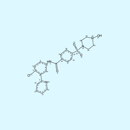 O=C(Nc1ccc(Cl)c(-c2ccccn2)c1)c1ccc(S(=O)(=O)N2CCN(O)CC2)cc1